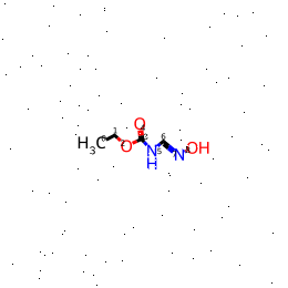 CCOC(=O)NC=NO